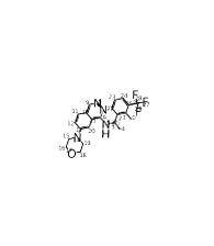 Cc1c([C@@H](C)Nc2nncc3ccc(N4CCOCC4)cc23)cccc1C(F)(F)F